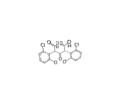 O=C(O)C(C(=O)C(C(=O)O)c1c(Cl)cccc1Cl)c1c(Cl)cccc1Cl